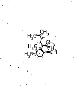 C#Cc1ccc(N)c(C)c1C(CCC(=C)C)=C(C)C